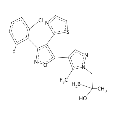 BC(C)(O)Cn1ncc(-c2onc(-c3c(F)cccc3Cl)c2-c2nccs2)c1C(F)(F)F